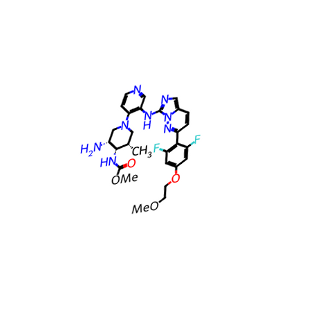 COCCOc1cc(F)c(-c2ccc3cnc(Nc4cnccc4N4C[C@@H](N)[C@@H](NC(=O)OC)[C@@H](C)C4)n3n2)c(F)c1